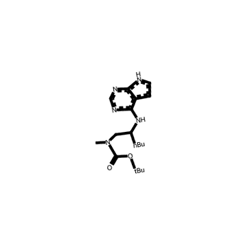 CCCCC(CN(C)C(=O)OC(C)(C)C)Nc1ncnc2[nH]ccc12